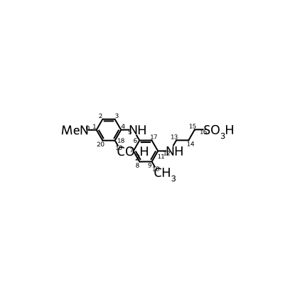 CNc1ccc(Nc2ccc(C)c(NCCCS(=O)(=O)O)c2)c(C(=O)O)c1